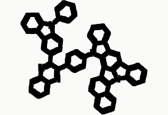 c1ccc(-n2c3ccccc3c3cc(-c4nc5ccccc5nc4-c4ccc(-n5c6ccccc6c6cc7c8ccccc8n8c9c%10ccccc%10ccc9c(c65)c78)cc4)ccc32)cc1